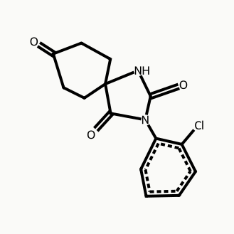 O=C1CCC2(CC1)NC(=O)N(c1ccccc1Cl)C2=O